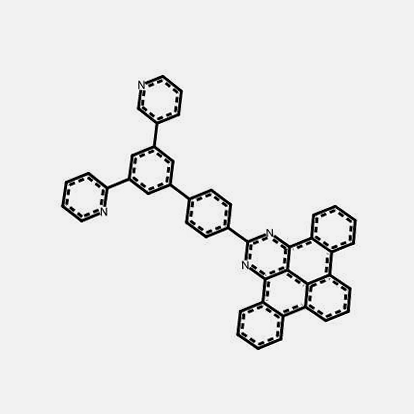 c1ccc(-c2cc(-c3ccc(-c4nc5c6ccccc6c6cccc7c8ccccc8c(n4)c5c67)cc3)cc(-c3cccnc3)c2)nc1